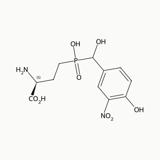 N[C@@H](CCP(=O)(O)C(O)c1ccc(O)c([N+](=O)[O-])c1)C(=O)O